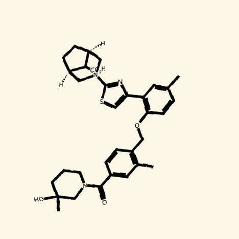 Cc1ccc(OCc2ccc(C(=O)N3CCCC(C)(O)C3)cc2C)c(-c2csc(N3C[C@H]4CC[C@@H](C3)C4C(=O)O)n2)c1